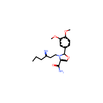 CCCC(=N)CCN1C(C(N)=O)=COC1c1ccc(OC)c(OC)c1